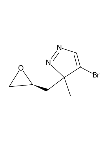 CC1(C[C@H]2CO2)N=NC=C1Br